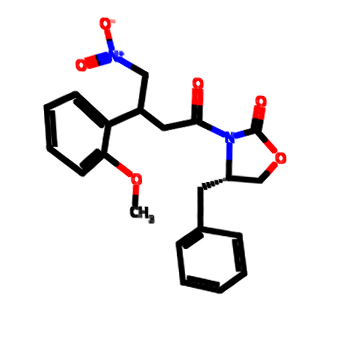 COc1ccccc1C(CC(=O)N1C(=O)OC[C@@H]1Cc1ccccc1)C[N+](=O)[O-]